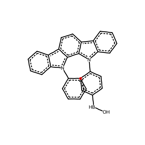 OBc1ccc(-n2c3ccccc3c3ccc4c5ccccc5n(-c5ccccc5)c4c32)cc1